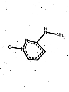 NNc1ccc[n+]([O-])n1